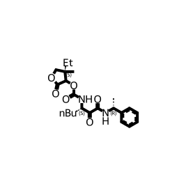 CCCC[C@H](NC(=O)OC1C(=O)OC[C@]1(C)CC)C(=O)C(=O)N[C@H](C)c1ccccc1